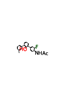 CC(=O)Nc1ccc(-c2cccc(-c3cccc(C)c3)c2O)cc1F